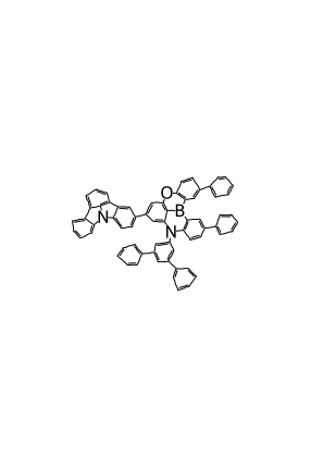 c1ccc(-c2cc(-c3ccccc3)cc(N3c4ccc(-c5ccccc5)cc4B4c5cc(-c6ccccc6)ccc5Oc5cc(-c6ccc7c(c6)c6cccc8c9ccccc9n7c86)cc3c54)c2)cc1